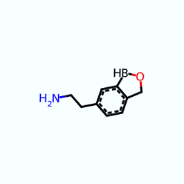 NCCc1ccc2c(c1)BOC2